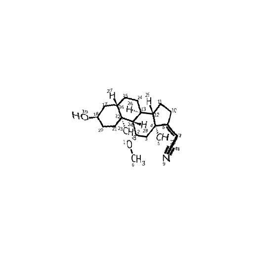 CO[C@H]1C[C@]2(C)/C(=C\C#N)CC[C@H]2[C@@H]2CC[C@H]3C[C@H](O)CC[C@]3(C)[C@H]21